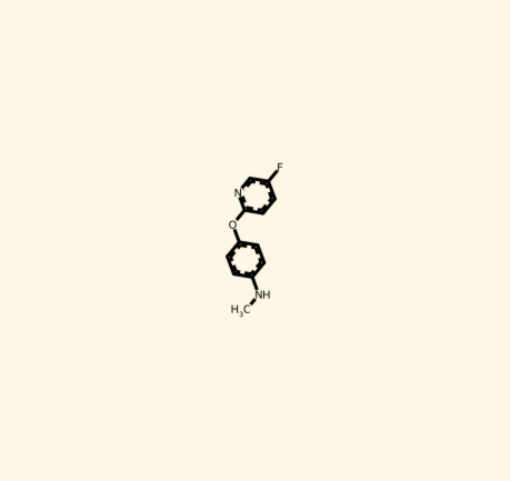 CNc1ccc(Oc2ccc(F)cn2)cc1